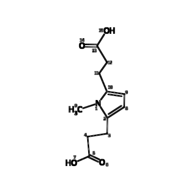 Cn1c(CCC(=O)O)ccc1CCC(=O)O